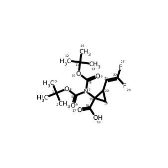 CC(C)(C)OC(=O)N(C(=O)OC(C)(C)C)C1(C(=O)O)CC1C=C(F)F